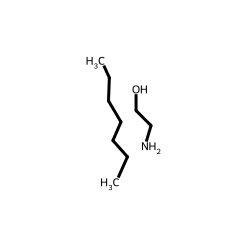 CCCCCCC.NCCO